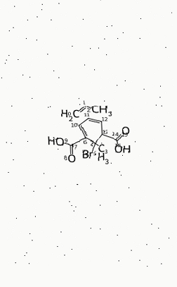 C=CC.CC1(Br)C(C(=O)O)=CC=CC1C(=O)O